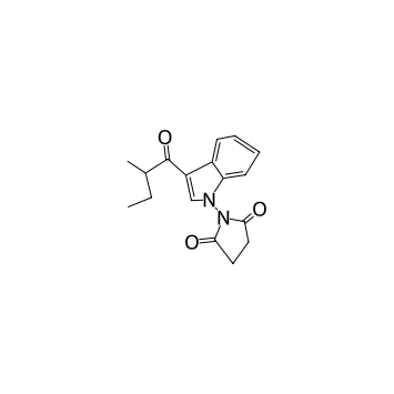 CCC(C)C(=O)c1cn(N2C(=O)CCC2=O)c2ccccc12